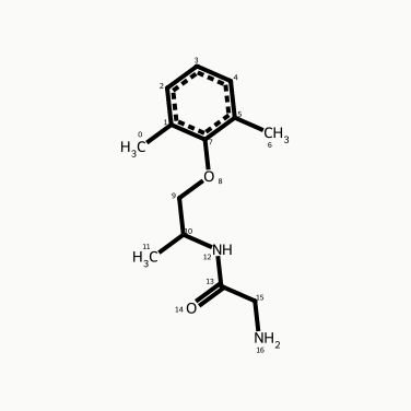 Cc1cccc(C)c1OCC(C)NC(=O)CN